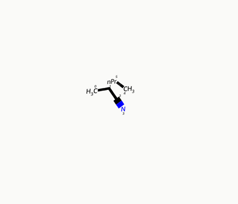 CCC#N.CCCC